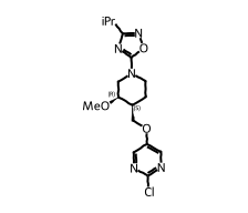 CO[C@H]1CN(c2nc(C(C)C)no2)CC[C@H]1COc1cnc(Cl)nc1